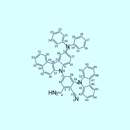 N#Cc1c(C=N)cc(-n2c3ccc(N(c4ccccc4)c4ccccc4)cc3c3c4ccccc4ccc32)cc1-n1c2ccccc2c2ccccc21